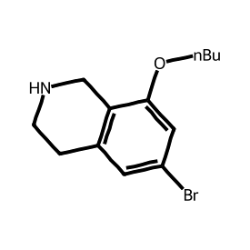 CCCCOc1cc(Br)cc2c1CNCC2